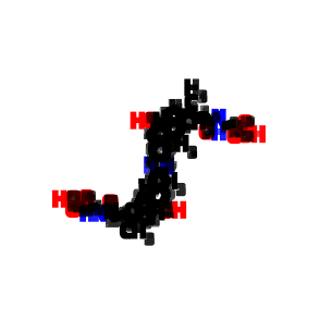 C[C@@H](CCC(=O)NCCS(=O)(=O)O)C1CC[C@@H]2[C@H]3[C@H](O)CC4Cc5nc6c(nc5C[C@@]4(C)[C@@H]3CC[C@@]12C)CC1C[C@H](O)[C@H]2[C@@H]3CC[C@H]([C@@H](C)CCC(=O)NCCS(=O)(=O)O)[C@@]3(C)CC[C@@H]2[C@@]1(C)C6